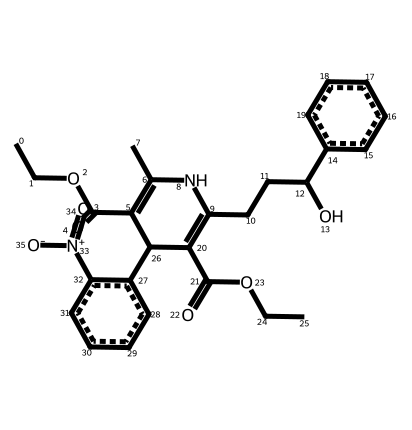 CCOC(=O)C1=C(C)NC(CCC(O)c2ccccc2)=C(C(=O)OCC)C1c1ccccc1[N+](=O)[O-]